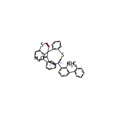 C=C1/C=C\C(c2cccc(-c3ccccc3C)c2C)=C/Sc2ccccc2C12C1=C(C=CCC1)Sc1cccc(-c3ccccc3)c12